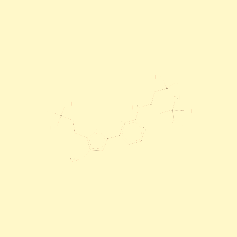 COc1cc(-c2ccnc(NC3CC(C)(C)NC(C)(C)C3)n2)sc1CCC(C)(C)O